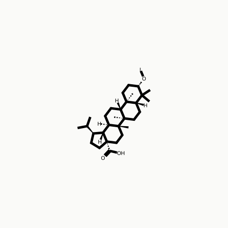 CC(C)[C@@H]1CC[C@]2(C(=O)O)CC[C@]3(C)[C@H](CC[C@@H]4[C@@]5(C)CC[C@H](OI)C(C)(C)[C@@H]5CC[C@]43C)[C@@H]12